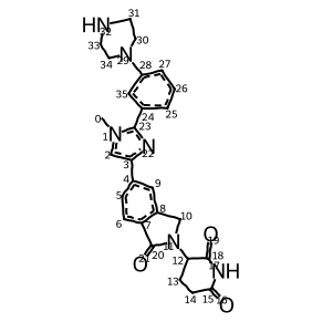 Cn1cc(-c2ccc3c(c2)CN(C2CCC(=O)NC2=O)C3=O)nc1-c1cccc(N2CCNCC2)c1